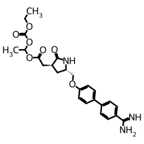 CCOC(=O)OC(C)OC(=O)C[C@@H]1C[C@@H](COc2ccc(-c3ccc(C(=N)N)cc3)cc2)NC1=O